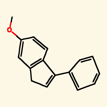 COc1ccc2c(c1)CC=C2c1ccccc1